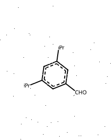 CC(C)c1cc(C=O)cc(C(C)C)c1